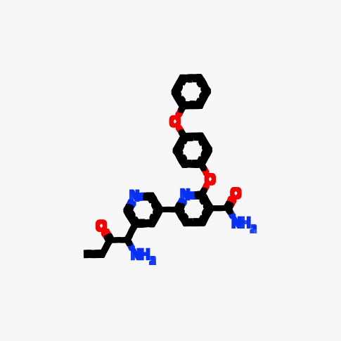 C=CC(=O)C(N)c1cncc(-c2ccc(C(N)=O)c(Oc3ccc(Oc4ccccc4)cc3)n2)c1